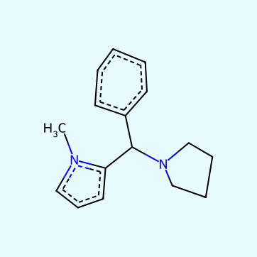 Cn1cccc1C(c1ccccc1)N1CCCC1